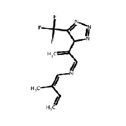 C=C/C(C)=C\N=C/C(=C)C1N=NN=C1C(F)(F)F